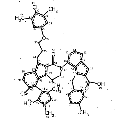 Cc1ccc(Cn2c(C(=O)O)cc3cccc(N4CC(C)n5c(c(CCCOc6cc(C)c(Cl)c(C)c6)c6ccc(Cl)c(-c7c(C)nn(C)c7C)c65)C4=O)c32)nc1